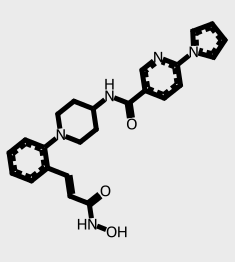 O=C(C=Cc1ccccc1N1CCC(NC(=O)c2ccc(-n3cccc3)nc2)CC1)NO